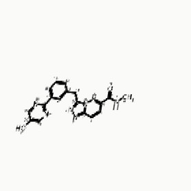 CNC(=O)c1ccc2nnc(Cc3cccc(-c4ncc(O)cn4)c3)n2n1